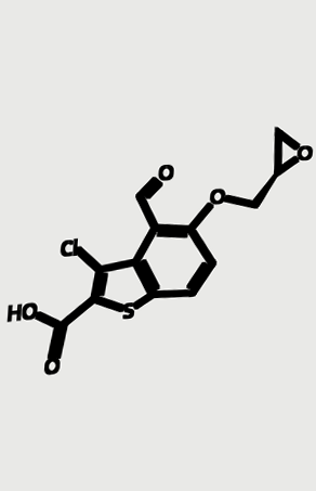 O=Cc1c(OC[C@H]2CO2)ccc2sc(C(=O)O)c(Cl)c12